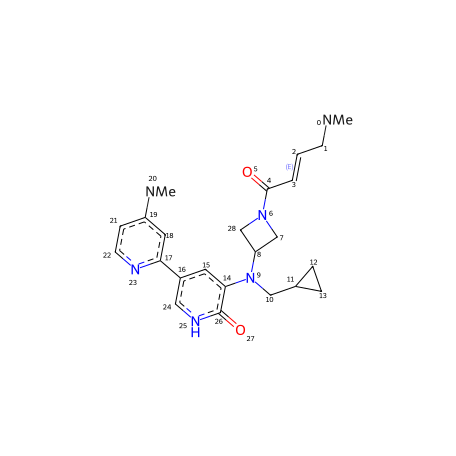 CNC/C=C/C(=O)N1CC(N(CC2CC2)c2cc(-c3cc(NC)ccn3)c[nH]c2=O)C1